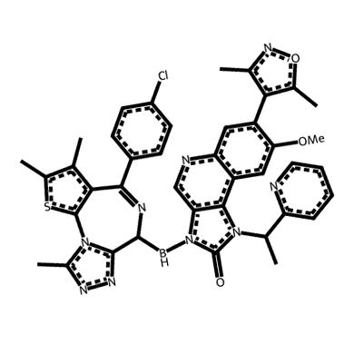 COc1cc2c(cc1-c1c(C)noc1C)ncc1c2n(C(C)c2ccccn2)c(=O)n1BC1N=C(c2ccc(Cl)cc2)c2c(sc(C)c2C)-n2c(C)nnc21